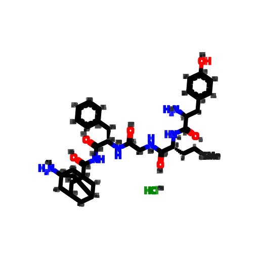 CSCC[C@@H](NC(=O)[C@@H](N)Cc1ccc(O)cc1)C(=O)NCC(=O)N[C@@H](Cc1ccccc1)C(=O)NC(=O)C12CC3CC(CC(N)(C3)C1)C2.Cl